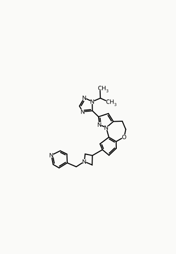 CC(C)n1ncnc1-c1cc2n(n1)-c1cc(C3CN(Cc4ccncc4)C3)ccc1OCC2